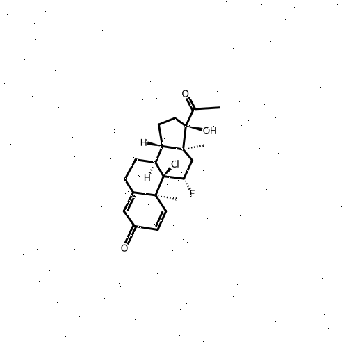 CC(=O)[C@@]1(O)CC[C@H]2[C@@H]3CCC4=CC(=O)C=C[C@]4(C)[C@@]3(Cl)[C@@H](F)C[C@@]21C